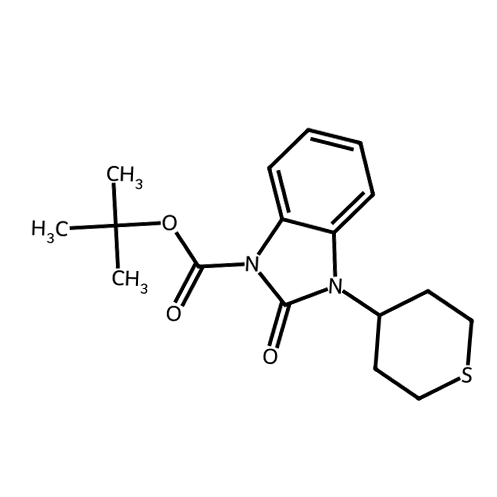 CC(C)(C)OC(=O)n1c(=O)n(C2CCSCC2)c2ccccc21